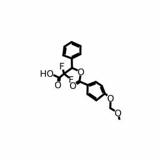 COCOc1ccc(C(=O)OC(c2ccccc2)C(F)(F)C(=O)O)cc1